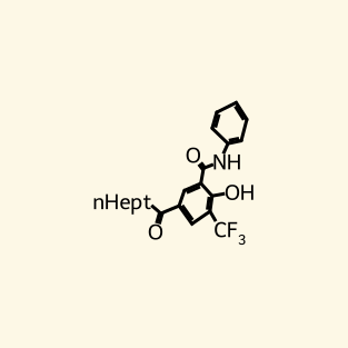 CCCCCCCC(=O)c1cc(C(=O)Nc2ccccc2)c(O)c(C(F)(F)F)c1